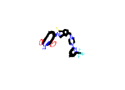 O=C1CCC(N2Cc3cc(CN4CCN(c5cccc(C(F)(F)F)n5)CC4)ccc3C2=S)C(=O)N1